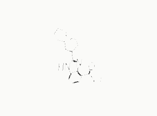 NC(=O)c1cccc2[nH]c(C3CCN4CCCCC4C3)nc12